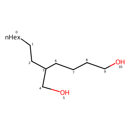 CCCCCCCCC(CO)CCCCO